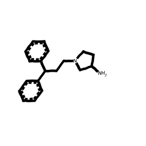 NC1CCN(CCC(c2ccccc2)c2ccccc2)C1